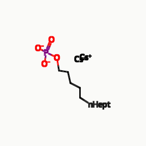 CCCCCCCCCCCCOP(=O)([O-])[O-].[Cs+].[Cs+]